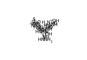 CSCC[C@H](NC(=O)[C@@H](N)C(C)C)C(=O)N[C@@H](C)C(=O)N1CCC[C@H]1C(=O)N[C@@H](CCCNC(=N)N)C(=O)N[C@H](C(=O)N[C@@H](CC(C)C)C(=O)N[C@@H](CN)C(=O)N[C@@H](CC(C)C)C(=O)O)[C@@H](C)O